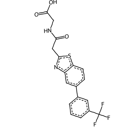 O=C(O)CNC(=O)Cc1nc2cc(-c3cccc(C(F)(F)F)c3)ccc2s1